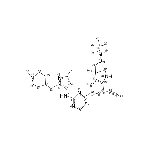 Cc1cc(Nc2nccc(-c3cc(C#N)c4c(c3)[C@@](C)(CO[Si](C)(C)C(C)(C)C)CN4)n2)n(CC2CCN(C)CC2)n1